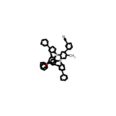 Cc1cc(-n2c3ccc(-c4ccccc4)cc3c3cc(-c4ccccc4)ccc32)c(-n2c3ccc(-c4ccccc4)cc3c3cc(-c4ccccc4)ccc32)cc1-c1cccc(C#N)c1